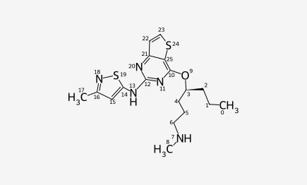 CCC[C@@H](CCCNC)Oc1nc(Nc2cc(C)ns2)nc2ccsc12